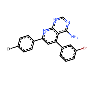 CCc1ccc(-c2cc(-c3cccc(Br)c3)c3c(N)ncnc3n2)cc1